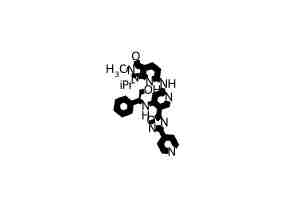 CC(C)n1c2nc(Nc3cc(N[C@H](CO)c4ccccc4)c(-c4nc(-c5ccncc5)no4)cn3)ccc2c(=O)n1C